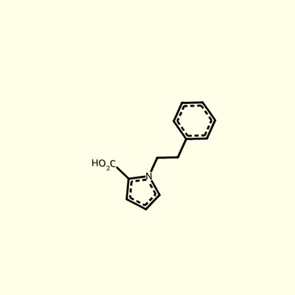 O=C(O)c1cccn1CCc1ccccc1